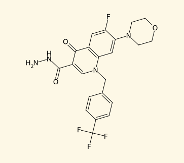 NNC(=O)c1cn(Cc2ccc(C(F)(F)F)cc2)c2cc(N3CCOCC3)c(F)cc2c1=O